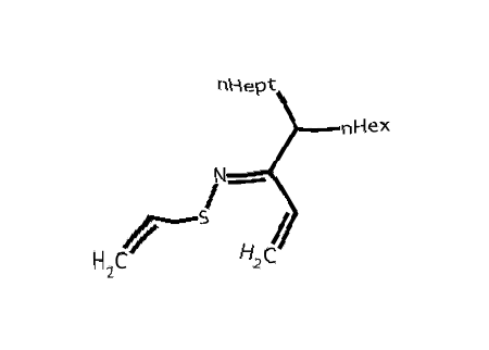 C=CS/N=C(\C=C)C(CCCCCC)CCCCCCC